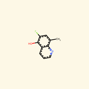 Cc1cc(F)c(O)c2cccnc12